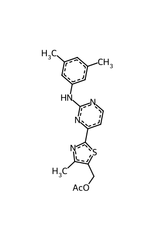 CC(=O)OCc1sc(-c2ccnc(Nc3cc(C)cc(C)c3)n2)nc1C